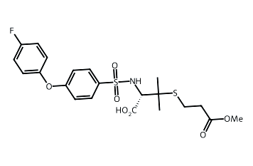 COC(=O)CCSC(C)(C)[C@@H](NS(=O)(=O)c1ccc(Oc2ccc(F)cc2)cc1)C(=O)O